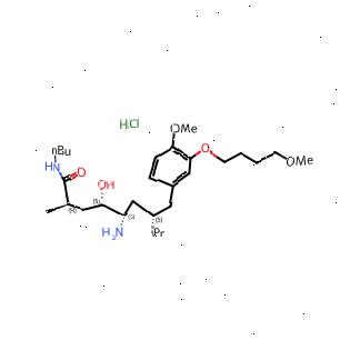 CCCCNC(=O)[C@H](C)C[C@H](O)[C@@H](N)C[C@H](Cc1ccc(OC)c(OCCCCOC)c1)C(C)C.Cl